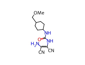 COCC1CCC(NC(=O)NC(C#N)=C(N)C#N)CC1